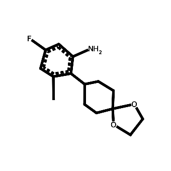 Cc1cc(F)cc(N)c1C1CCC2(CC1)OCCO2